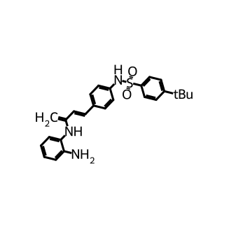 C=C(/C=C/c1ccc(NS(=O)(=O)c2ccc(C(C)(C)C)cc2)cc1)Nc1ccccc1N